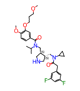 COCCCOc1cc(C(=O)N(C[C@@H]2CNC[C@H]2CN(C(=O)Cc2cc(F)cc(F)c2)C2CC2)C(C)C)ccc1OC